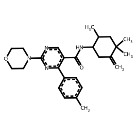 C=C1CC(NC(=O)c2cnc(N3CCOCC3)nc2-c2ccc(C)cc2)C(C)CC1(C)C